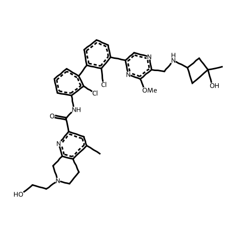 COc1nc(-c2cccc(-c3cccc(NC(=O)c4cc(C)c5c(n4)CN(CCO)CC5)c3Cl)c2Cl)cnc1CNC1CC(C)(O)C1